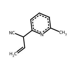 C=CC(C#N)c1cccc(C)n1